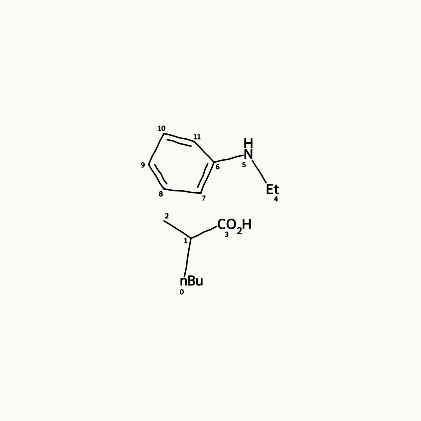 CCCCC(C)C(=O)O.CCNc1ccccc1